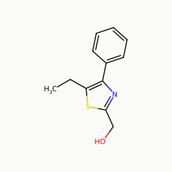 CCc1sc(CO)nc1-c1ccccc1